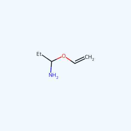 C=COC(N)CC